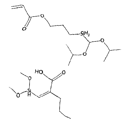 C=CC(=O)OCCC[SiH2]C(OC(C)C)OC(C)C.CCCC(=C[SiH](OC)OC)C(=O)O